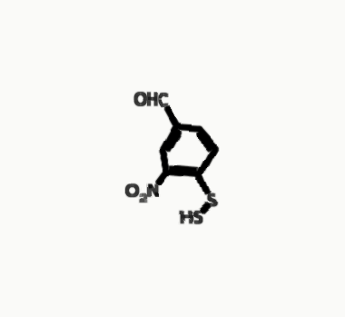 O=Cc1ccc(SS)c([N+](=O)[O-])c1